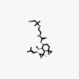 CO[C@@H]1[C@H](OC(=O)NCCOC(C)(C)CO)CCC2(CO2)[C@H]1[C@@]1(C)O[C@@H]1CC=C(C)C